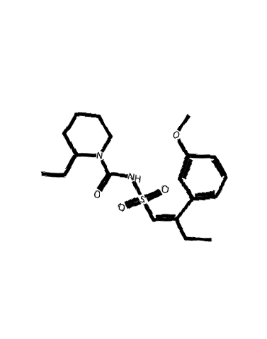 CC/C(=C/S(=O)(=O)NC(=O)N1CCCCC1CC)c1cccc(OC)c1